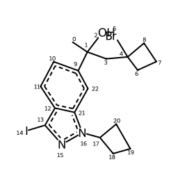 CC(O)(CC1(Br)CCC1)c1ccc2c(I)nn(C3CCC3)c2c1